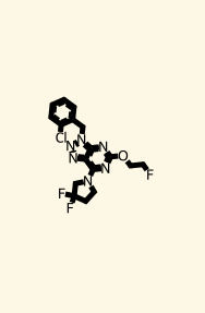 FCCOc1nc(N2CCC(F)(F)C2)c2nnn(Cc3ccccc3Cl)c2n1